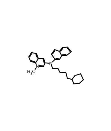 C[n+]1cc(N(CCCCCC2CCCCC2)c2ccc3ccccc3c2)cc2ccccc21